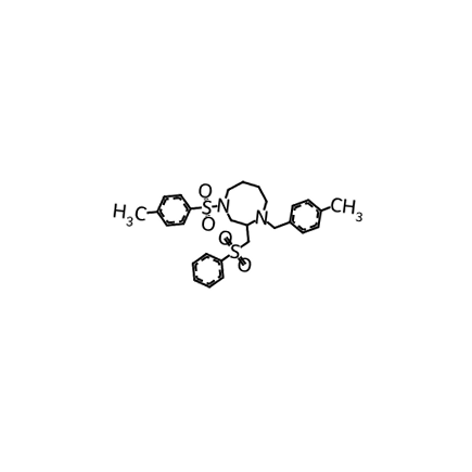 Cc1ccc(CN2CCCCN(S(=O)(=O)c3ccc(C)cc3)CC2CS(=O)(=O)c2ccccc2)cc1